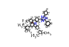 Cc1cc(C)cc(-c2ccc3c(c2)c2cc(-c4cc(C)cc(C)c4)ccc2n3-c2cc(-c3nc(-c4ccccc4)nc(-c4ccccc4)n3)ccc2-c2ccc(C(F)(F)F)cc2)c1